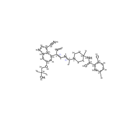 C=N/C(=C\N=C(/C)N1CCC(C)(NC(=O)c2nc(C)ccc2Cl)CC1)c1cc(OCC(C)(C)O)cn2ncc(C#N)c12